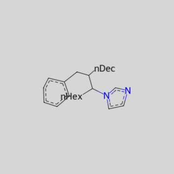 CCCCCCCCCCC(Cc1ccccc1)C(CCCCCC)n1ccnc1